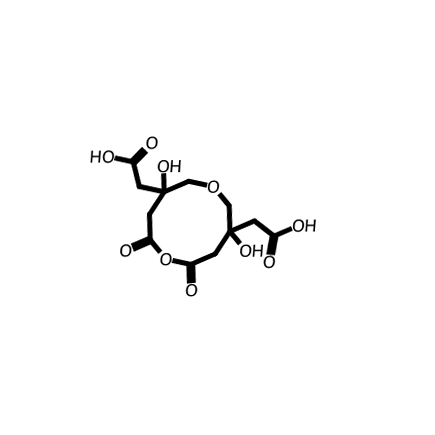 O=C(O)CC1(O)COCC(O)(CC(=O)O)CC(=O)OC(=O)C1